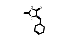 O=C1NC(=S)N/C1=C\C1CC=CCC1